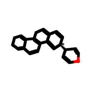 C1=CC([C@H]2C=CC3=CCc4c(ccc5c4=CCCC=5)C3=C2)C=CO1